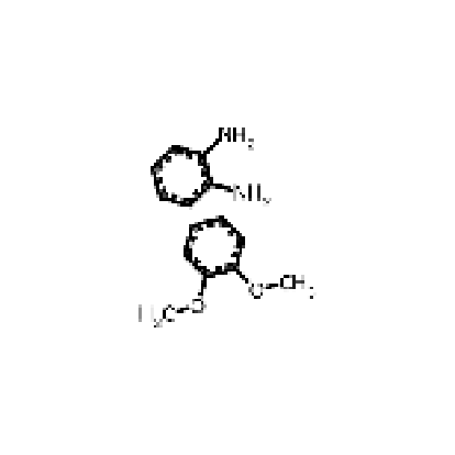 COc1ccccc1OC.Nc1ccccc1N